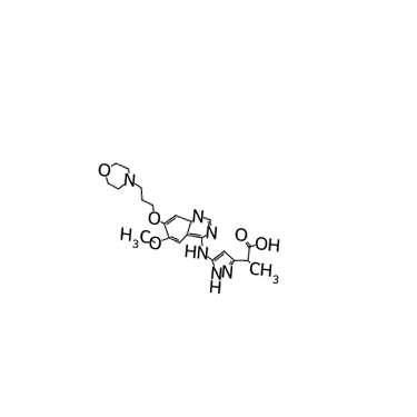 COc1cc2c(Nc3cc(C(C)C(=O)O)n[nH]3)ncnc2cc1OCCCN1CCOCC1